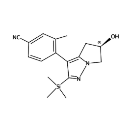 Cc1cc(C#N)ccc1-c1c([Si](C)(C)C)nn2c1C[C@@H](O)C2